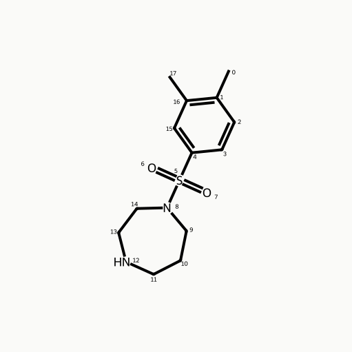 Cc1ccc(S(=O)(=O)N2CCCNCC2)cc1C